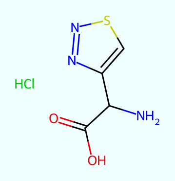 Cl.NC(C(=O)O)c1csnn1